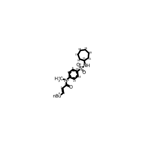 CCCCC=CC(=O)N(C)c1ccc(S(=O)(=O)NC2CCCCCC2)cc1